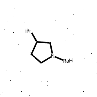 CC(C)C1CC[N]([RaH])C1